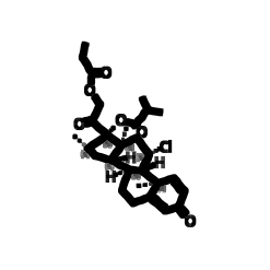 CCC(=O)OCC(=O)[C@]1(OC(=O)C(C)C)[C@@H](C)C[C@H]2[C@@H]3CCC4=CC(=O)C=C[C@]4(C)[C@H]3[C@@H](Cl)C[C@@]21C